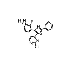 Nc1cccc(-c2nc(-c3ccccc3)sc2-c2ccnc(Cl)n2)c1F